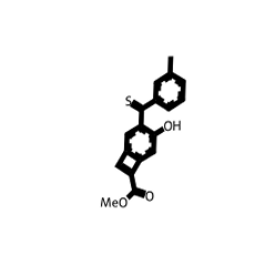 COC(=O)C1=Cc2cc(C(=S)c3cccc(C)c3)c(O)cc21